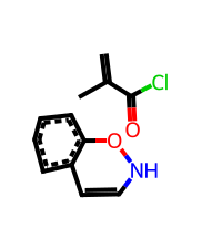 C1=Cc2ccccc2ON1.C=C(C)C(=O)Cl